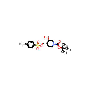 Cc1ccc(S(=O)(=O)OC[C@H]2CCN(C(=O)OC(C)(C)C)C[C@@H]2O)cc1